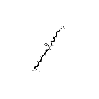 CCCCCCCCO[N+](=O)CCCCCCCC